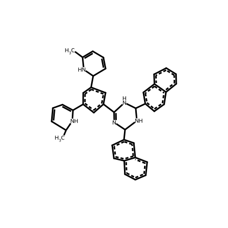 CC1=CC=CC(c2cc(C3=CC=CC(C)N3)cc(C3=NC(c4ccc5ccccc5c4)NC(c4ccc5ccccc5c4)N3)c2)N1